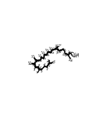 CC(C)=CCCC(C)=CC=C(C)C(C)=CC=CC=CC=CC=C(C)C=CC=C(C)CO